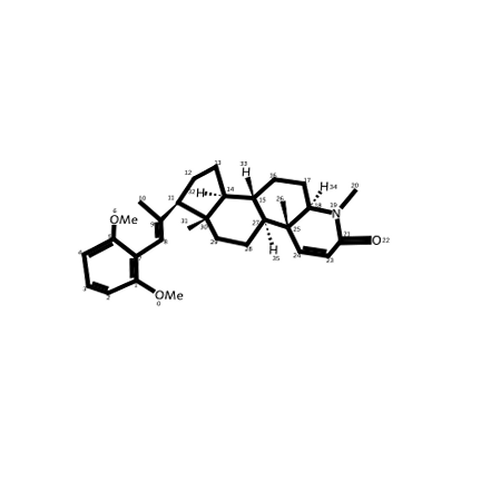 COc1cccc(OC)c1C=C(C)[C@H]1CC[C@H]2[C@@H]3CC[C@H]4N(C)C(=O)C=C[C@]4(C)[C@H]3CC[C@]12C